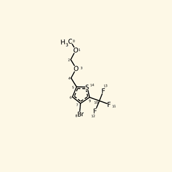 COCOCc1cc(Br)c(C(F)(F)F)s1